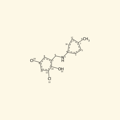 Cc1ccc(NCc2cc(Cl)cc(Cl)c2O)cc1